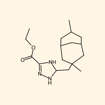 CCOC(=O)C1=NNC(CC2(C)CC3CC(C)CC(C3)C2)N1